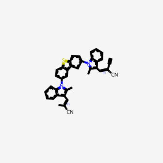 C#C/C(C#N)=C\c1c(C)n(-c2ccc3sc4ccc(-n5c(C)c(/C=C(\C)C#N)c6ccccc65)cc4c3c2)c2ccccc12